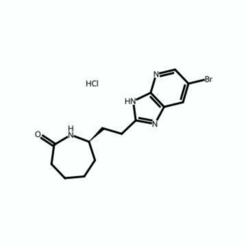 Cl.O=C1CCCC[C@H](CCc2nc3cc(Br)cnc3[nH]2)N1